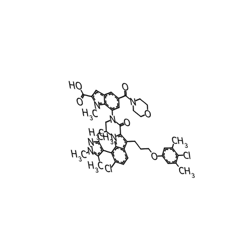 Cc1cc(OCCCc2c3n(c4c(-c5c(C)nn(C)c5C)c(Cl)ccc24)C(C)CN(c2cc(C(=O)N4CCOCC4)cc4cc(C(=O)O)n(C)c24)C3=O)cc(C)c1Cl